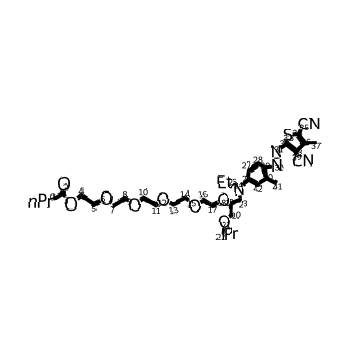 CCCC(=O)OCCOCCOCCOCCOCCOC(COC(C)C)CN(CC)c1ccc(/N=N/c2sc(C#N)c(C)c2C#N)c(C)c1